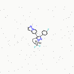 Fc1ccc(-c2nn3c(c2-c2ccn4nccc4c2)CC[C@H]2[C@@H]3C2(F)F)cc1